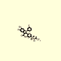 CCc1cc2c(cc1F)c(C(N)=O)c(-c1ccc(S(=O)(=O)NC(C)C(F)(F)F)cn1)n2-c1cccc(F)c1